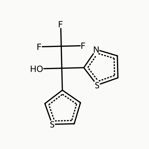 OC(c1ccsc1)(c1nccs1)C(F)(F)F